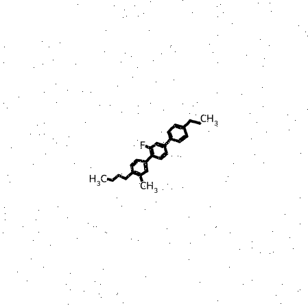 CCCCc1ccc(-c2ccc(-c3ccc(CCC)cc3)cc2F)cc1C